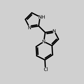 Clc1ccn2c(-c3ncc[nH]3)ncc2c1